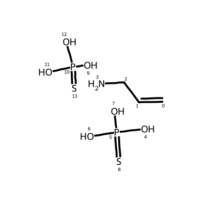 C=CCN.OP(O)(O)=S.OP(O)(O)=S